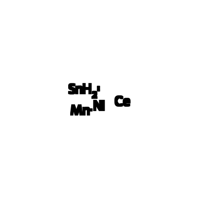 [Ce].[Mn].[Ni].[SnH2]